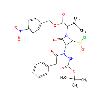 C=C(C)C(C(=O)OCc1ccc([N+](=O)[O-])cc1)N1C(=O)C(N(NC(=O)OC(C)(C)C)C(=O)Cc2ccccc2)C1[S+]([O-])Cl